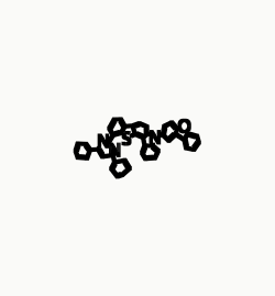 c1ccc(-c2cc(-c3ccccc3)nc(-c3cccc4c3sc3c4ccc4c3c3ccccc3n4-c3ccc4oc5ccccc5c4c3)n2)cc1